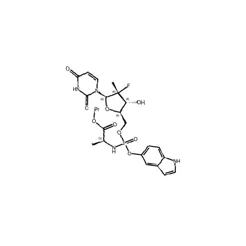 CC(C)OC(=O)[C@H](C)NP(=O)(OC[C@H]1O[C@@H](n2ccc(=O)[nH]c2=O)[C@](C)(F)[C@@H]1O)Oc1ccc2[nH]ccc2c1